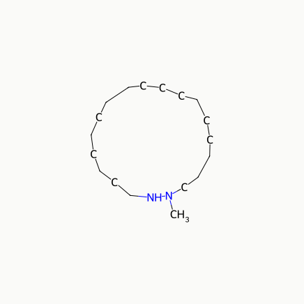 CN1CCCCCCCCCCCCCCCCCN1